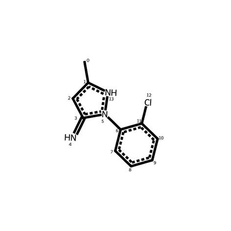 Cc1cc(=N)n(-c2ccccc2Cl)[nH]1